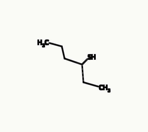 CCCC(S)CC